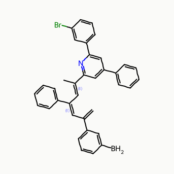 Bc1cccc(C(=C)/C=C(\C=C(/C)c2cc(-c3ccccc3)cc(-c3cccc(Br)c3)n2)c2ccccc2)c1